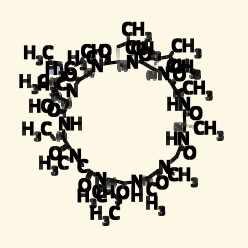 C/C=C/C[C@@H](C)[C@@H](O)[C@H]1C(=O)N[C@@H](CC)C(=O)N(C)CC(=O)N(C)[C@@H](C(C)CC)C(=O)N[C@@H](C)C(=O)N(C)CC(=O)N[C@@H](C)C(=O)N[C@H](C)C(=O)N(C)[C@@H](CC(C)C)C(=O)N(C)[C@@H](CC(C)C)C(=O)N(C)[C@@H](C(C)C)C(=O)N1C